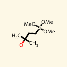 CO[Si](CCC(C)(C)[O])(OC)OC